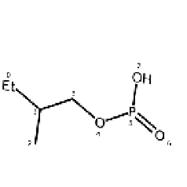 CCC(C)CO[P](=O)O